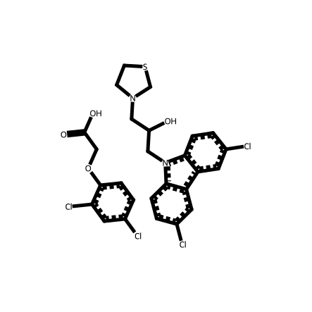 O=C(O)COc1ccc(Cl)cc1Cl.OC(CN1CCSC1)Cn1c2ccc(Cl)cc2c2cc(Cl)ccc21